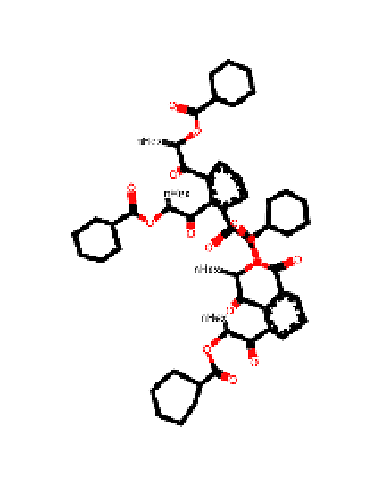 CCCCCCC(OC(=O)C1CCCCC1)C(=O)c1cccc(C(=O)OOC(=O)c2cccc(C(=O)C(CCCCCC)OC(=O)C3CCCCC3)c2C(=O)C(CCCCCC)OC(=O)C2CCCCC2)c1C(=O)C(CCCCCC)OC(=O)C1CCCCC1